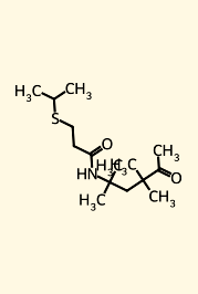 CC(=O)C(C)(C)CC(C)(C)NC(=O)CCSC(C)C